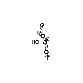 Cl.O=c1cc(OCc2ccc(C(F)(F)F)cc2)ccn1-c1ccc2c(cnn2CCN2CCCC2)c1